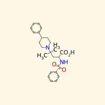 CC(C)(CC(NS(=O)(=O)c1ccccc1)C(=O)O)N1CCC(c2ccccc2)CC1